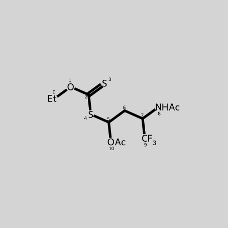 CCOC(=S)SC(CC(NC(C)=O)C(F)(F)F)OC(C)=O